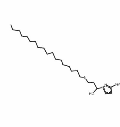 CCCCCCCCCCCCCCCCCCSCCC(O)n1ccc(N)n1